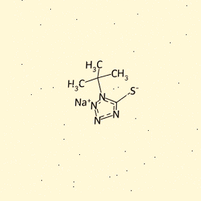 CC(C)(C)n1nnnc1[S-].[Na+]